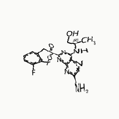 C[C@H](CO)Nc1nc(S(=O)(=O)Cc2cccc(F)c2F)nc2nc(N)cnc12